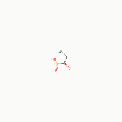 CCCCC(=O)[PH](=O)O